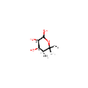 C[C@@H]1[C@@H](O)[C@@H](O)C(O)OC1(C)C